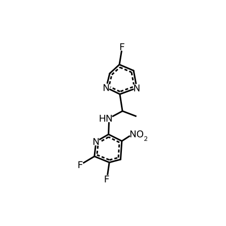 CC(Nc1nc(F)c(F)cc1[N+](=O)[O-])c1ncc(F)cn1